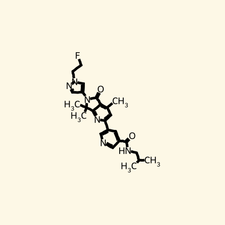 Cc1cc(-c2cncc(C(=O)NCC(C)C)c2)nc2c1C(=O)N(c1cnn(CCF)c1)C2(C)C